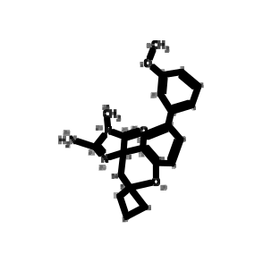 COc1cccc(-c2ccc3c(c2)C2(CC4(CCC4)O3)N=C(N)N(C)C2=O)c1